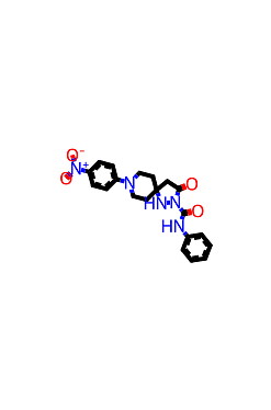 O=C1CC2(CCN(c3ccc([N+](=O)[O-])cc3)CC2)NN1C(=O)Nc1ccccc1